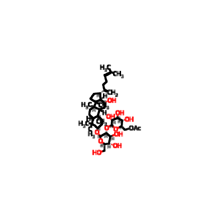 C=C(CCC=C(C)C)[C@H]1CC[C@]2(C)[C@@H]1[C@H](O)C[C@@H]1[C@@]3(C)CC[C@H](O[C@@H]4O[C@H](CO)[C@@H](O)[C@H](O)[C@H]4O[C@@H]4O[C@H](COC(C)=O)[C@@H](O)[C@H](O)[C@H]4O)C(C)(C)[C@@H]3CC[C@]12C